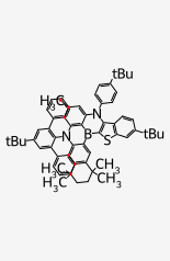 Cc1cc2c3c(c1)N(c1ccc(C(C)(C)C)cc1)c1c(sc4cc(C(C)(C)C)ccc14)B3c1cc3c(cc1N2c1c(-c2ccccc2)cc(C(C)(C)C)cc1-c1ccccc1)C(C)(C)CCC3(C)C